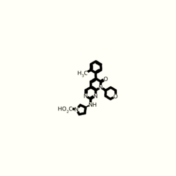 Cc1ccccc1-c1cc2cnc(N[C@H]3CCN(C(=O)O)C3)nc2n(C2CCOCC2)c1=O